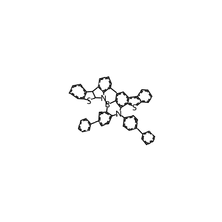 c1ccc(-c2ccc(N3c4ccc(-c5ccccc5)cc4B4c5c(cc6c(sc7ccccc76)c53)-c3cccc5c3N4C3Sc4ccccc4C53)cc2)cc1